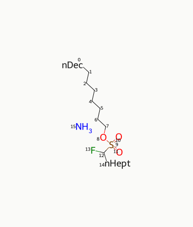 CCCCCCCCCCCCCCCCCOS(=O)(=O)C(F)CCCCCCC.N